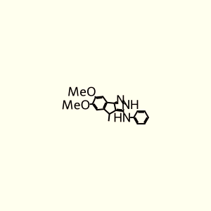 COc1cc2c(cc1OC)C(C)c1c-2n[nH]c1Nc1ccccc1